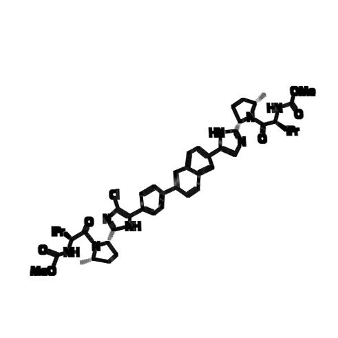 COC(=O)N[C@H](C(=O)N1[C@@H](C)CC[C@H]1c1ncc(-c2ccc3cc(-c4ccc(-c5[nH]c([C@@H]6CC[C@H](C)N6C(=O)[C@@H](NC(=O)OC)C(C)C)nc5Cl)cc4)ccc3c2)[nH]1)C(C)C